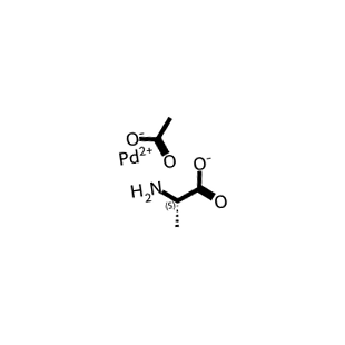 CC(=O)[O-].C[C@H](N)C(=O)[O-].[Pd+2]